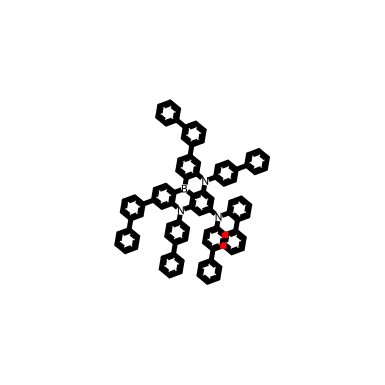 c1ccc(-c2ccc(N(c3cc4c5c(c3)N(c3ccc(-c6ccccc6)cc3)c3cc(-c6cccc(-c7ccccc7)c6)ccc3B5c3ccc(-c5cccc(-c6ccccc6)c5)cc3N4c3ccc(-c4ccccc4)cc3)c3ccccc3-c3ccccc3)cc2)cc1